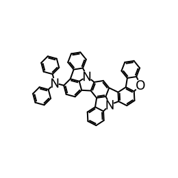 c1ccc(N(c2ccccc2)c2ccc3c4c5c6ccccc6n6c7ccc8oc9ccccc9c8c7c(cc4n4c7ccccc7c2c34)c56)cc1